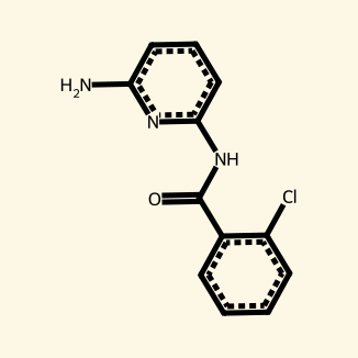 Nc1cccc(NC(=O)c2ccccc2Cl)n1